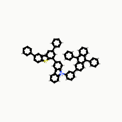 c1ccc(-c2ccc3sc4c(-c5ccc6c(c5)c5ccccc5n6-c5cccc(-c6ccc7c(-c8ccccc8)c8ccccc8c(-c8ccccc8)c7c6)c5)cc(-c5ccccc5)cc4c3c2)cc1